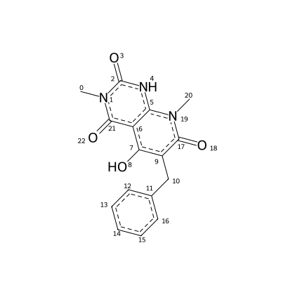 Cn1c(=O)[nH]c2c(c(O)c(Cc3ccccc3)c(=O)n2C)c1=O